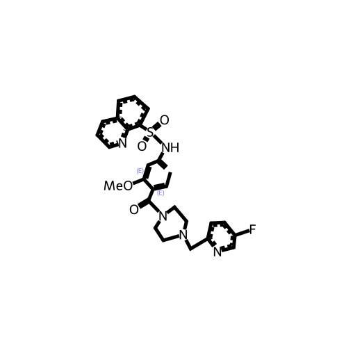 C=C(/C=C(OC)\C(=C/C)C(=O)N1CCN(Cc2ccc(F)cn2)CC1)NS(=O)(=O)c1cccc2cccnc12